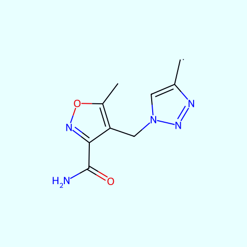 [CH2]c1cn(Cc2c(C(N)=O)noc2C)nn1